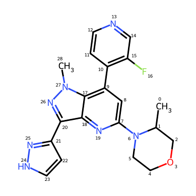 CC1COCCN1c1cc(-c2ccncc2F)c2c(n1)c(-c1cc[nH]n1)nn2C